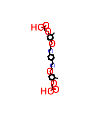 Cc1cc(OC/C=C/c2ccc(/C=C/COc3ccc(OCC(=O)O)c(C)c3)cc2)ccc1OCC(=O)O